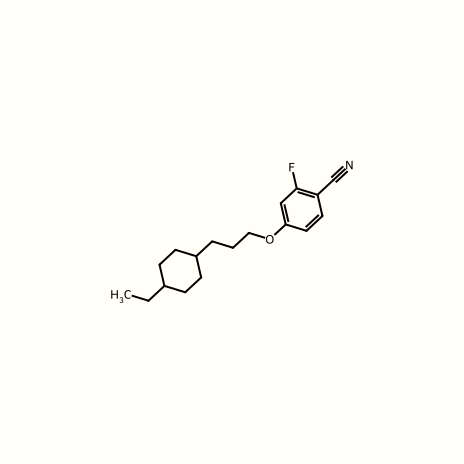 CCC1CCC(CCCOc2ccc(C#N)c(F)c2)CC1